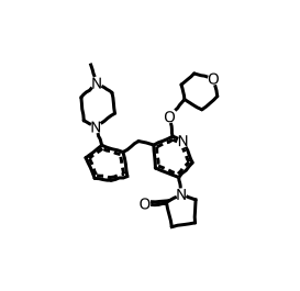 CN1CCN(c2ccccc2Cc2cc(N3CCCC3=O)cnc2OC2CCOCC2)CC1